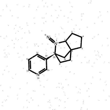 [N-]=[N+]1C2CCCC23CC[C@@]1(c1cccnc1)C3